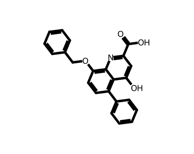 O=C(O)c1cc(O)c2c(-c3ccccc3)ccc(OCc3ccccc3)c2n1